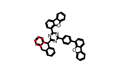 c1ccc2c(c1)C1c3ccccc3C2(c2nc(-c3ccc(-c4cccc5c4oc4ccccc45)cc3)nc(-c3cccc4c3oc3ccccc34)n2)c2ccccc21